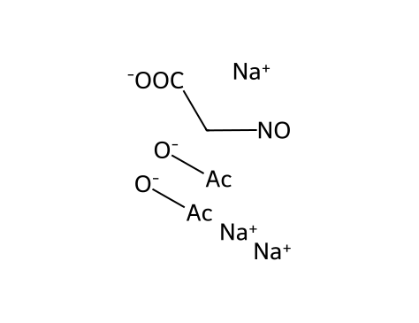 CC(=O)[O-].CC(=O)[O-].O=NCC(=O)[O-].[Na+].[Na+].[Na+]